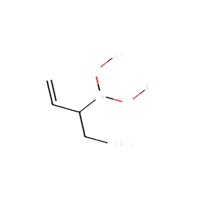 C=CC(CCCCCCC)[SiH](OCC)OCC